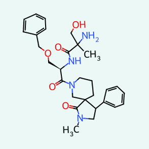 CN1CC(c2ccccc2)C2(CCCN(C(=O)[C@@H](COCc3ccccc3)NC(=O)C(C)(N)CO)C2)C1=O